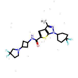 Cc1nn(C2CCC(F)(F)CC2)c2sc(C(=O)NC3CC(N4CCC(F)(F)C4)C3)cc12